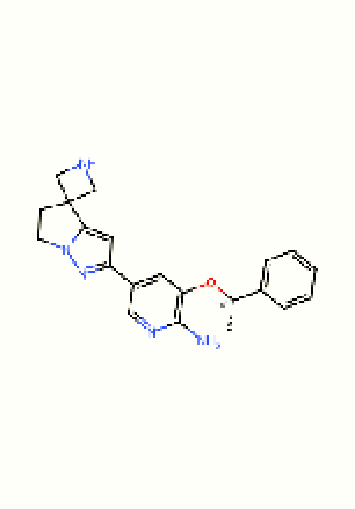 C[C@H](Oc1cc(-c2cc3n(n2)CCC32CNC2)cnc1N)c1ccccc1